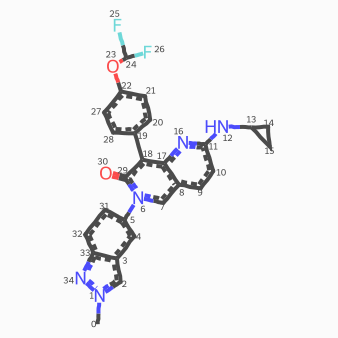 Cn1cc2cc(-n3cc4ccc(NC5CC5)nc4c(-c4ccc(OC(F)F)cc4)c3=O)ccc2n1